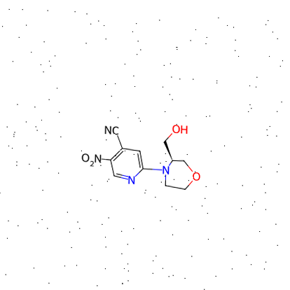 N#Cc1cc(N2CCOC[C@@H]2CO)ncc1[N+](=O)[O-]